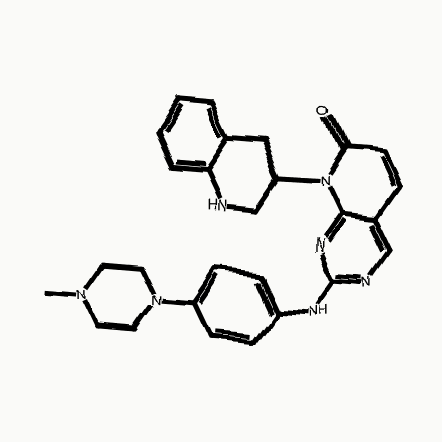 CN1CCN(c2ccc(Nc3ncc4ccc(=O)n(C5CNc6ccccc6C5)c4n3)cc2)CC1